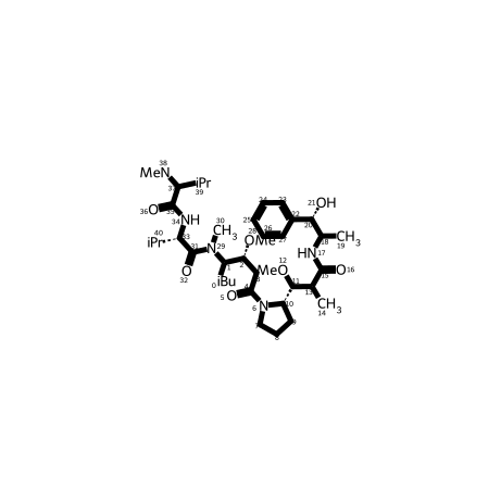 CCC(C)C([C@@H](CC(=O)N1CCC[C@H]1C(OC)C(C)C(=O)NC(C)[C@@H](O)c1ccccc1)OC)N(C)C(=O)[C@@H](NC(=O)C(NC)C(C)C)C(C)C